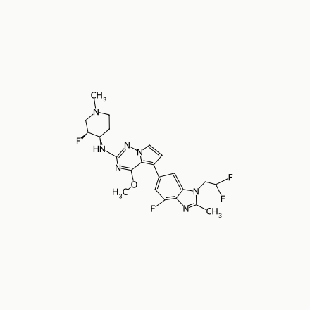 COc1nc(N[C@@H]2CCN(C)C[C@@H]2F)nn2ccc(-c3cc(F)c4nc(C)n(CC(F)F)c4c3)c12